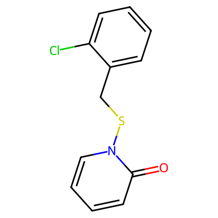 O=c1ccccn1SCc1ccccc1Cl